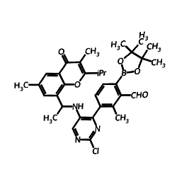 Cc1cc(C(C)Nc2cnc(Cl)nc2-c2ccc(B3OC(C)(C)C(C)(C)O3)c(C=O)c2C)c2oc(C(C)C)c(C)c(=O)c2c1